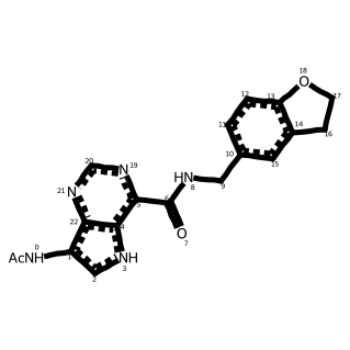 CC(=O)Nc1c[nH]c2c(C(=O)NCc3ccc4c(c3)CCO4)ncnc12